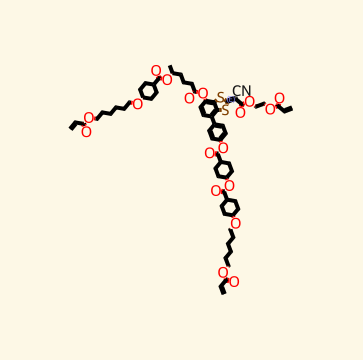 C=CC(=O)OCCCCCCOC1CCC(C(=O)OC(C)CCCC(=O)Oc2ccc(-c3ccc(OC(=O)C4CCC(OC(=O)C5CCC(OCCCCCCOC(=O)C=C)CC5)CC4)cc3)c3c2S/C(=C(\C#N)C(=O)OCCOC(=O)C=C)S3)CC1